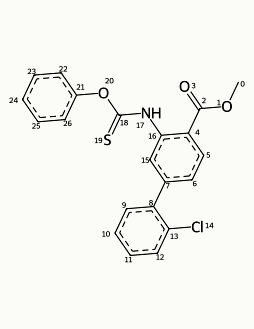 COC(=O)c1ccc(-c2ccccc2Cl)cc1NC(=S)Oc1ccccc1